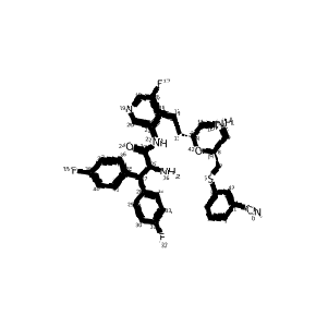 N#Cc1cccc(SC[C@@H]2CNC[C@@H](CCc3c(F)cncc3NC(=O)C(N)C(c3ccc(F)cc3)c3ccc(F)cc3)O2)c1